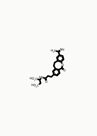 N=C(N)c1ccc2c(c1)CCc1cc(CCC(=O)NC(CC(=O)O)C(=O)O)ccc1C(=O)O2